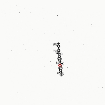 CC(C)C12c3ccccc3C(C(C)C)(c3cc4oc5cc6c(=O)n(-c7ccc(-c8ccc(C(C)(C)C)c(O)c8)cc7O)c(=O)c6cc5oc4cc31)c1cc3oc4cc5c(=O)n(C(C)(C)C)c(=O)c5cc4oc3cc12